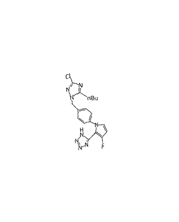 CCCCc1nc(Cl)nn1Cc1ccc(-n2ccc(F)c2-c2nnn[nH]2)cc1